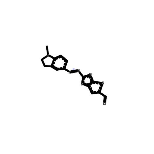 CN1CCc2cc(/N=N/c3nc4sc(C=O)cc4s3)ccc21